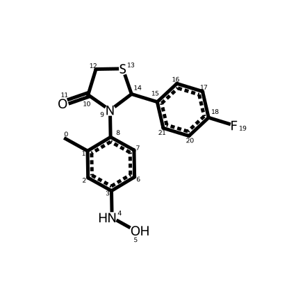 Cc1cc(NO)ccc1N1C(=O)CSC1c1ccc(F)cc1